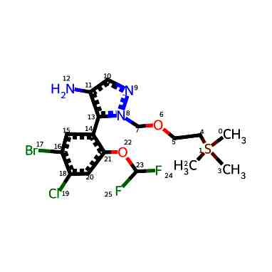 CS(C)(C)CCOCn1ncc(N)c1-c1cc(Br)c(Cl)cc1OC(F)F